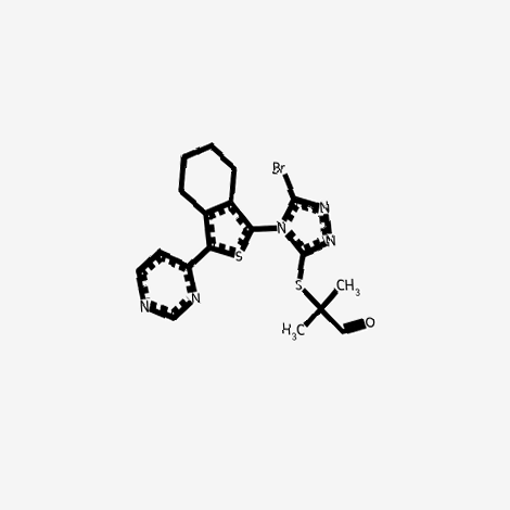 CC(C)(C=O)Sc1nnc(Br)n1-c1sc(-c2ccncn2)c2c1CCCC2